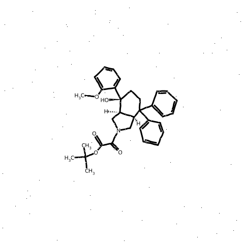 COc1ccccc1[C@]1(O)CCC(c2ccccc2)(c2ccccc2)[C@H]2CN(C(=O)C(=O)OC(C)(C)C)C[C@H]21